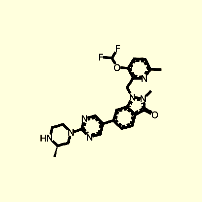 Cc1ccc(OC(F)F)c(Cn2c3cc(-c4cnc(N5CCN[C@H](C)C5)nc4)ccc3c(=O)n2C)n1